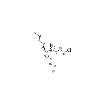 CCCCOC(OCCCC)[SiH2]CCCCl